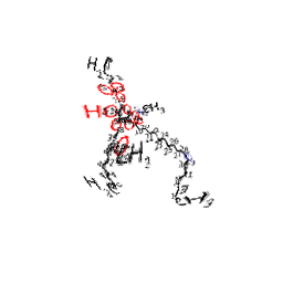 C=CCOC(=O)OC[C@H]1OC(O/C=C/C)[C@H](OC(=O)CCCCCCCCC/C=C\CCCCCC)[C@@H](OCC[C@@H](CCCCCCC)OC)[C@@H]1O